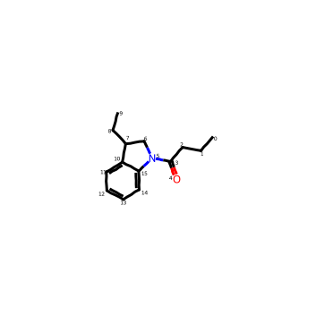 CCCC(=O)N1CC(CC)c2ccccc21